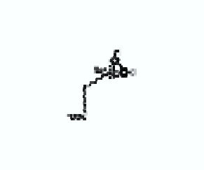 O=C([O-])CCCCCCC/C=C\CCCCCCCCP1(=O)Oc2ccc(Cl)cc2Cc2cc(Cl)ccc2O1.[Na+]